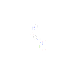 CC(C)N1CCC(Oc2ccc3nc(C(=O)NCC4(F)COC4)ccc3c2)CC1